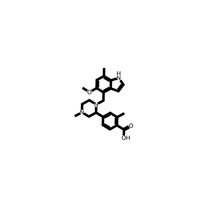 COc1cc(C)c2[nH]ccc2c1CN1CCN(C)CC1c1ccc(C(=O)O)c(C)c1